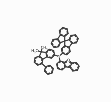 CC1(C)c2ccc(N(c3ccc4c(c3)C3(c5ccccc5-c5ccccc53)c3ccccc3-4)c3cccc4c3oc3ccccc34)cc2-c2c(-c3ccccc3)cccc21